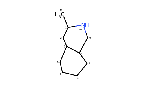 CC1CC2CCCCC2CN1